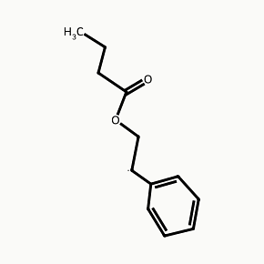 CCCC(=O)OC[CH]c1ccccc1